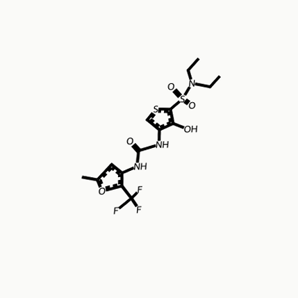 CCN(CC)S(=O)(=O)c1scc(NC(=O)Nc2cc(C)oc2C(F)(F)F)c1O